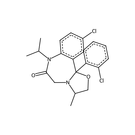 CC(C)N1C(=O)CN2C(C)COC2(c2ccccc2Cl)c2cc(Cl)ccc21